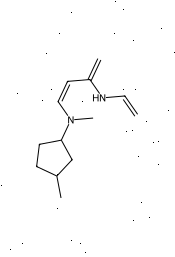 C=CNC(=C)/C=C\N(C)C1CCC(C)C1